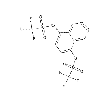 O=S(=O)(Oc1ccc(OS(=O)(=O)C(F)(F)F)c2ccccc12)C(F)(F)F